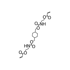 C=CC(=O)OCCNC(=O)OCC1CCC(COC(=O)NCCOC(=O)C=C)CC1